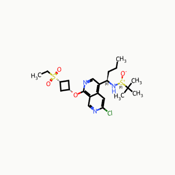 CCC[C@@H](N[S@@+]([O-])C(C)(C)C)c1cnc(O[C@H]2C[C@@H](S(=O)(=O)CC)C2)c2cnc(Cl)cc12